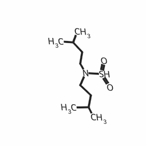 CC(C)CCN(CCC(C)C)[SH](=O)=O